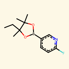 CCC1(C)OB(c2ccc(F)nc2)OC1(C)C